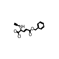 C#CNC(C=CC(=O)OCc1ccccc1)C(=O)Cl